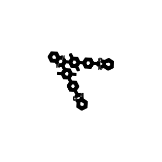 Cc1cc(-c2nc3ccccc3nc2-c2cc(C)c(-c3ccc(-c4nc5ccccc5o4)cc3)cc2C)c(C)cc1-c1ccc(-c2nc3ccccc3o2)cc1